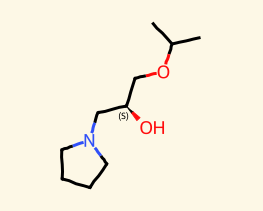 CC(C)OC[C@@H](O)CN1CCCC1